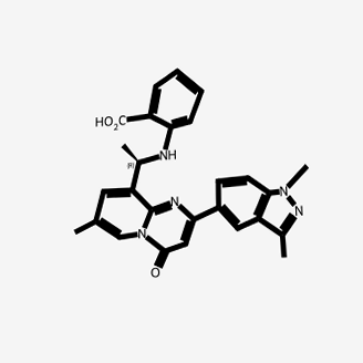 Cc1cc([C@@H](C)Nc2ccccc2C(=O)O)c2nc(-c3ccc4c(c3)c(C)nn4C)cc(=O)n2c1